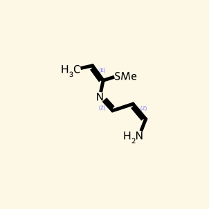 C\C=C(/N=C\C=C/N)SC